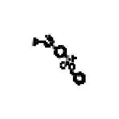 O=C(NC1CCC(n2cc(C3CC3)nn2)CC1)OCc1ccccc1